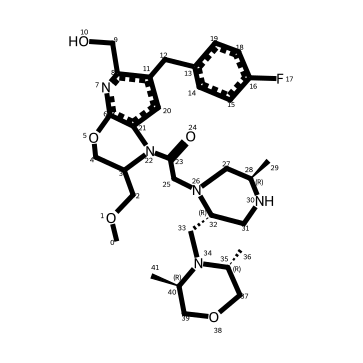 COCC1COc2nc(CO)c(Cc3ccc(F)cc3)cc2N1C(=O)CN1C[C@@H](C)NC[C@@H]1CN1[C@H](C)COC[C@H]1C